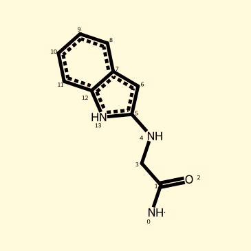 [NH]C(=O)CNc1cc2ccccc2[nH]1